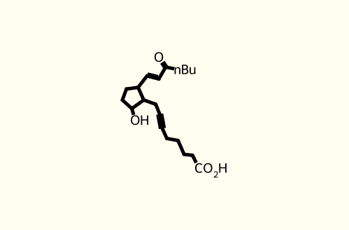 CCCCC(=O)/C=C/C1CCC(O)C1CC#CCCCCC(=O)O